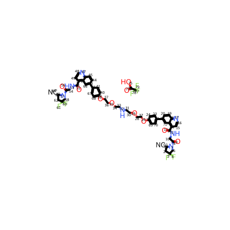 N#C[C@@H]1CC(F)(F)CN1C(=O)CNC(=O)c1ccnc2ccc(-c3ccc(OCCOCCNCCOCCOc4ccc(-c5ccc6nccc(C(=O)NCC(=O)N7CC(F)(F)C[C@H]7C#N)c6c5)cc4)cc3)cc12.O=C(O)C(F)(F)F